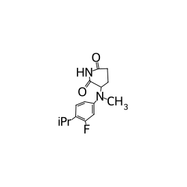 CC(C)c1ccc(N(C)C2CCC(=O)NC2=O)cc1F